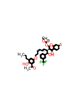 CCCc1cc(OCC/C=C\C=C\[C@@H](c2c(OC(=O)OC)oc3c(c2=O)=CCC(=S)C=3)[C@@H](O)c2cccc(C(F)(F)F)c2)cc(C(C)=O)c1O